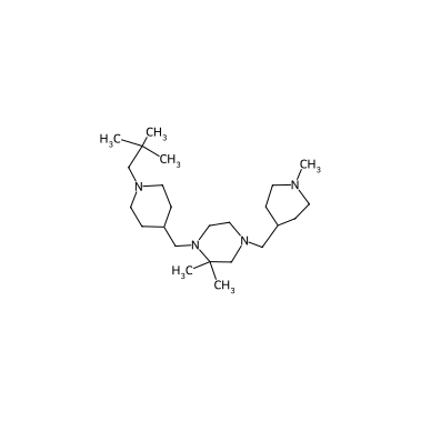 CN1CCC(CN2CCN(CC3CCN(CC(C)(C)C)CC3)C(C)(C)C2)CC1